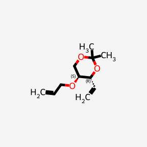 C=CCO[C@H]1COC(C)(C)O[C@@H]1C=C